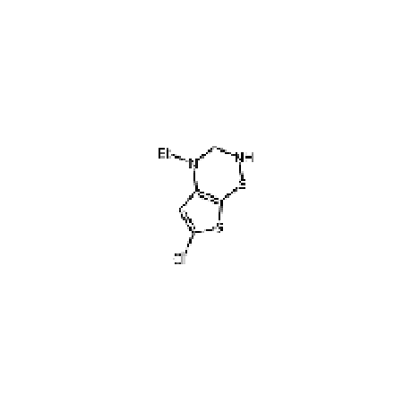 CCN1CNSc2sc(Cl)cc21